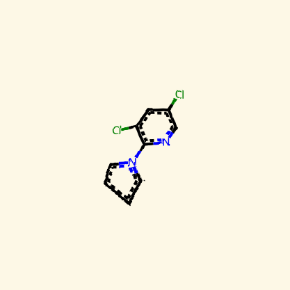 Clc1cnc(-n2[c]ccc2)c(Cl)c1